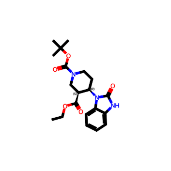 CCOC(=O)[C@H]1CN(C(=O)OC(C)(C)C)CC[C@H]1n1c(=O)[nH]c2ccccc21